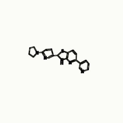 c1cncc(-c2ccc3c(n2)NC(c2ccc(N4CCCC4)nc2)S3)c1